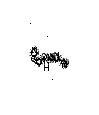 CN1CCC(Oc2cccc(C(=O)Nc3cc4cc(-c5cnn(C)c5)cnc4cn3)c2)CC1